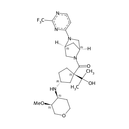 CO[C@@H]1COCC[C@@H]1N[C@@H]1CC[C@@](C(=O)N2C[C@@H]3C[C@H]2CN3c2ccnc(C(F)(F)F)n2)(C(C)(C)O)C1